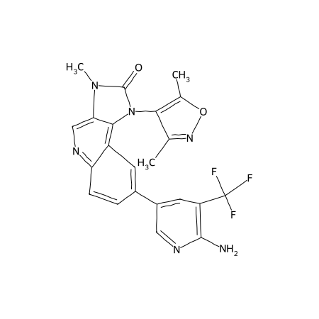 Cc1noc(C)c1-n1c(=O)n(C)c2cnc3ccc(-c4cnc(N)c(C(F)(F)F)c4)cc3c21